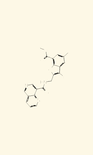 COC(=O)c1cc(C)cc2c(Cl)c(CNC(=O)c3cncc4cccnc34)oc12